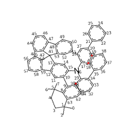 CC1(C)CCC(C)(C)c2c(-c3cc4c(cc3N(c3ccc(-c5ccccc5)cc3)c3ccccc3-c3ccccc3)C3(c5ccccc5-c5ccccc53)c3ccccc3-4)cccc21